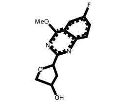 COc1nc(C2CC(O)CO2)nc2ccc(F)cc12